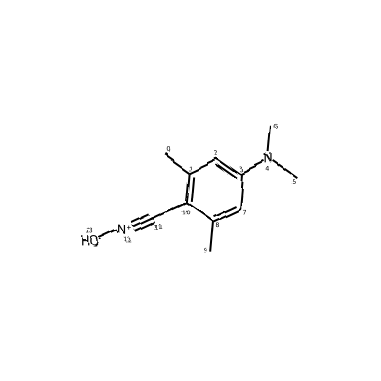 Cc1cc(N(C)C)cc(C)c1C#[N+]O